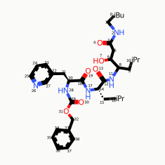 CCC(C)CNC(=O)CC(O)C(CC(C)C)NC(=O)[C@H](CC(C)C)NC(=O)[C@H](Cc1cccnc1)NC(=O)OCc1ccccc1